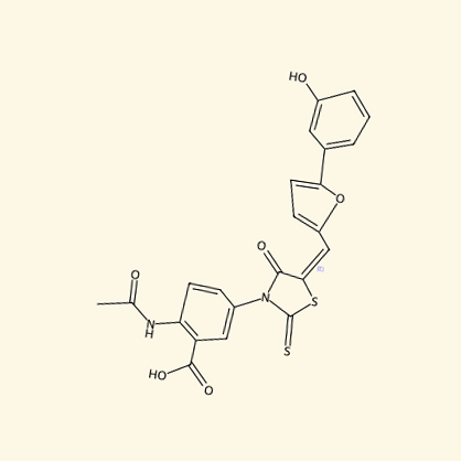 CC(=O)Nc1ccc(N2C(=O)/C(=C\c3ccc(-c4cccc(O)c4)o3)SC2=S)cc1C(=O)O